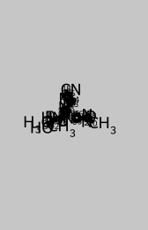 Cc1nc(-c2ccc(Nc3cc(-c4ccc5cc(C#N)cnn45)ncc3C(=O)NCC(F)C(C)(C)O)cc2)no1